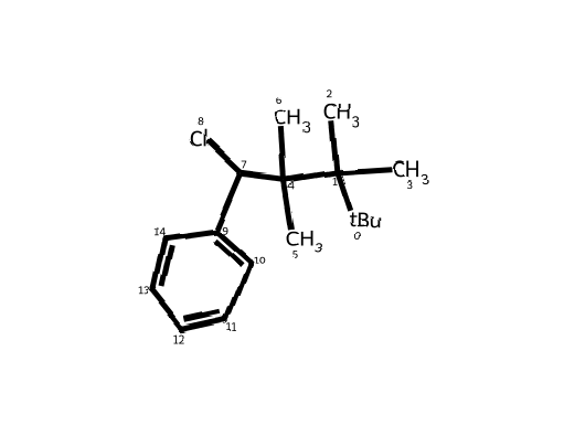 CC(C)(C)C(C)(C)C(C)(C)C(Cl)c1ccccc1